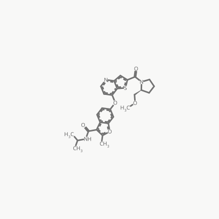 COC[C@@H]1CCCN1C(=O)c1cc2nccc(Oc3ccc4c(C(=O)NC(C)C)c(C)oc4c3)c2s1